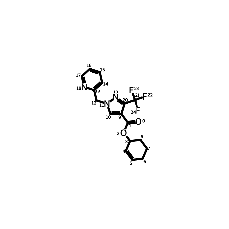 O=C(OC1C=CCCC1)c1cn(Cc2ccccn2)nc1C(F)(F)F